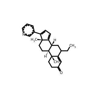 CCC1C[C@H]2C3=CC=C(c4cccnc4)[C@@]3(C)CC[C@@H]2[C@@]2(C)CCC(=O)C=C12